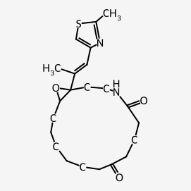 CC(=Cc1csc(C)n1)C12CCNC(=O)CCCC(=O)CCCCCCC1O2